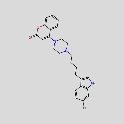 O=c1cc(N2CCN(CCCCc3c[nH]c4cc(Cl)ccc34)CC2)c2ccccc2o1